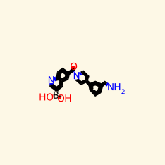 NCc1cccc(C2CCN(C(=O)c3ccc4ncc(B(O)O)cc4c3)CC2)c1